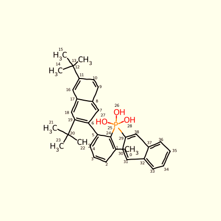 Cc1cccc(-c2cc3ccc(C(C)(C)C)cc3cc2C(C)(C)C)c1P(O)(O)(O)c1ccc2ccccc2c1